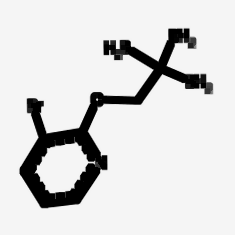 BC(B)(B)COc1ncccc1Br